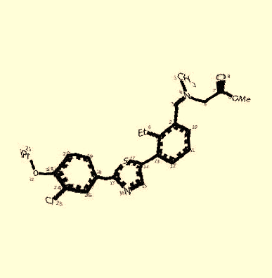 CCc1c(CN(C)CC(=O)OC)cccc1-c1cnc(-c2ccc(OC(C)C)c(Cl)c2)s1